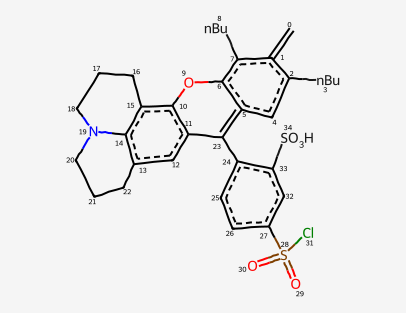 C=c1c(CCCC)cc2c(c1CCCC)Oc1c(cc3c4c1CCCN4CCC3)C=2c1ccc(S(=O)(=O)Cl)cc1S(=O)(=O)O